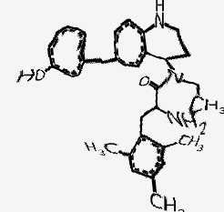 CCN(C(=O)C(N)Cc1c(C)cc(C)cc1C)C1CCNc2ccc(Cc3cccc(O)c3)cc21